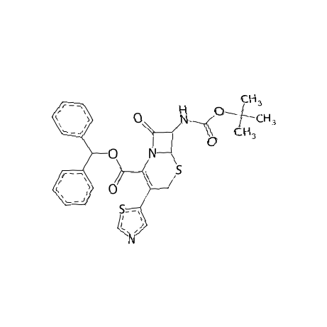 CC(C)(C)OC(=O)NC1C(=O)N2C(C(=O)OC(c3ccccc3)c3ccccc3)=C(c3cncs3)CSC12